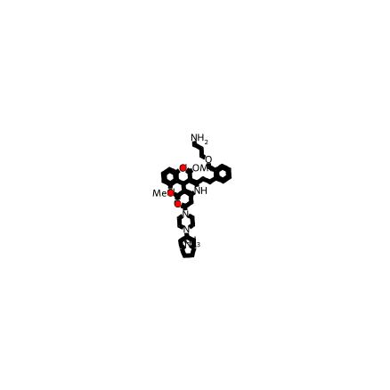 COC(=O)C1=C(CCc2ccccc2COCCCN)NC(CC(=O)N2CCN(C3CC4CCC(C3)N4C)CC2)=C(C(=O)OC)C1c1c(Cl)cccc1Cl